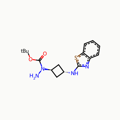 CC(C)(C)OC(=O)N(N)[C@H]1C[C@H](Nc2nc3ccccc3s2)C1